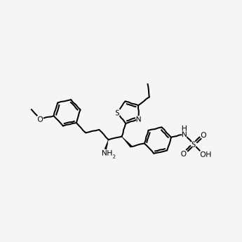 CCc1csc([C@@H](Cc2ccc(NS(=O)(=O)O)cc2)[C@@H](N)CCc2cccc(OC)c2)n1